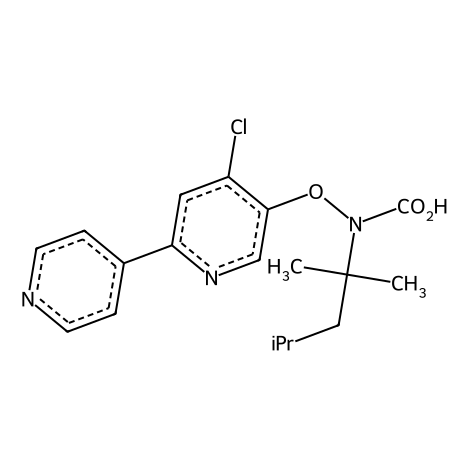 CC(C)CC(C)(C)N(Oc1cnc(-c2ccncc2)cc1Cl)C(=O)O